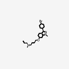 C=CCN(C)C/C=C/COc1ccc2c(-c3ccc(Br)cc3)nn(C)c2c1